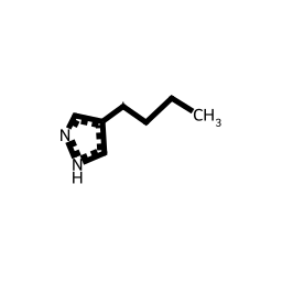 CCC[CH]c1cn[nH]c1